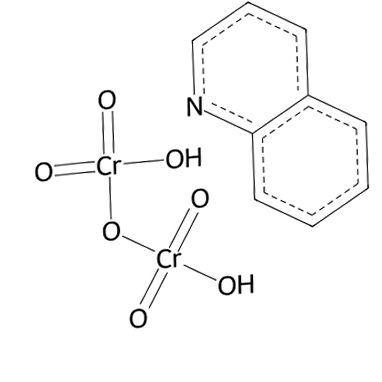 [O]=[Cr](=[O])([OH])[O][Cr](=[O])(=[O])[OH].c1ccc2ncccc2c1